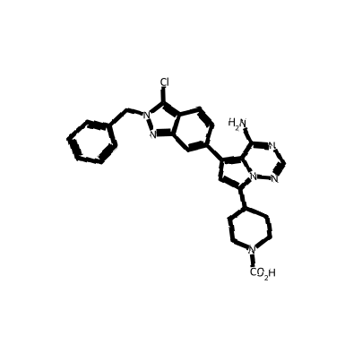 Nc1ncnn2c(C3CCN(C(=O)O)CC3)cc(-c3ccc4c(Cl)n(Cc5ccccc5)nc4c3)c12